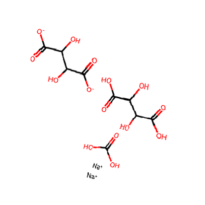 O=C(O)C(O)C(O)C(=O)O.O=C(O)O.O=C([O-])C(O)C(O)C(=O)[O-].[Na+].[Na+]